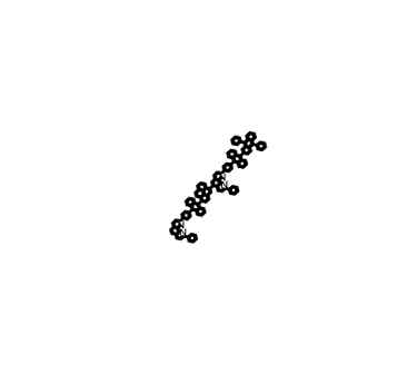 c1ccc(-c2ccc3ccc4ccc(-c5ccc(-c6c7ccccc7c(-c7ccc8cc(-c9cc%10ccc(-c%11ccc(-c%12c%13ccccc%13c(-c%13ccc%14c(-c%15ccccc%15)c%15ccccc%15c(-c%15ccccc%15)c%14c%13)c%13ccccc%12%13)cc%11)nc%10c%10nc(-c%11ccccc%11)ccc9%10)c9cccc%10ccc7c8c%109)c7ccccc67)cc5)nc4c3n2)cc1